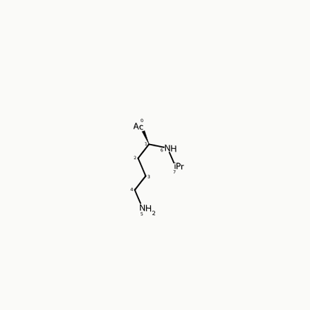 CC(=O)[C@H](CCCN)NC(C)C